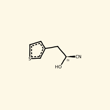 N#C[C@@H](O)Cc1ccsc1